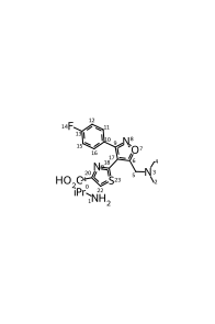 CC(C)N.CN(C)Cc1onc(-c2ccc(F)cc2)c1-c1nc(C(=O)O)cs1